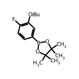 CC(C)COc1cc(B2OC(C)(C)C(C)(C)O2)ccc1F